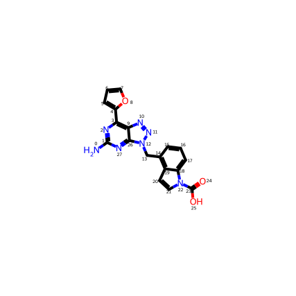 Nc1nc(-c2ccco2)c2nnn(Cc3cccc4c3ccn4C(=O)O)c2n1